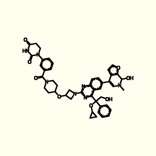 CN1C=C(c2ccc3nc(N4CC(OC5CCN(C(=O)c6cccc(N7CCC(=O)NC7=O)c6)CC5)C4)nc(C(CO)(OC4CC4)c4ccccc4)c3c2)c2ccoc2C1O